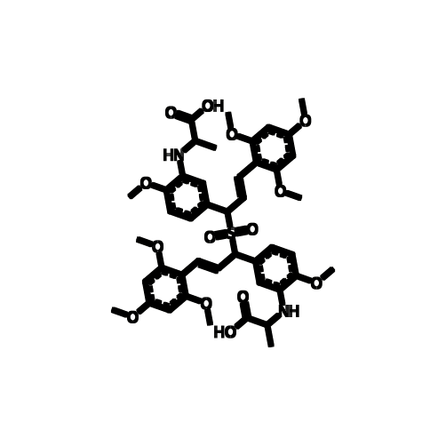 COc1cc(OC)c(C=CC(c2ccc(OC)c(NC(C)C(=O)O)c2)S(=O)(=O)C(C=Cc2c(OC)cc(OC)cc2OC)c2ccc(OC)c(NC(C)C(=O)O)c2)c(OC)c1